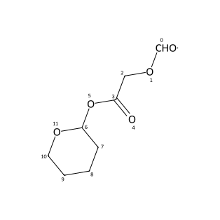 O=[C]OCC(=O)OC1CCCCO1